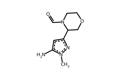 Cn1nc(C2COCCN2C=O)cc1N